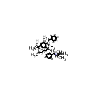 CCCCCC(C)(Pc1ccccc1/C=N/C(C)(C)C)c1cc(C(C)(C)C)cc(C)c1OCc1ccccc1